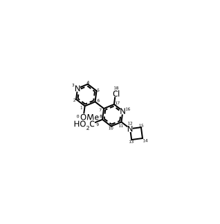 COc1cnccc1-c1c(C(=O)O)cc(N2CCC2)nc1Cl